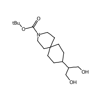 CC(C)(C)OC(=O)N1CCC2(CCC(C(CO)CO)CC2)CC1